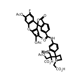 COc1cc(NC(=O)c2ccc3c(c2)C2(OC3=O)c3cc(F)c(OC(C)=O)cc3Oc3cc(OC(C)=O)c(F)cc32)ccc1C1(C(COC(C)=O)(COC(C)=O)C(=O)O)CCN1CC(=O)O